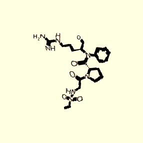 CCS(=O)(=O)NCC(=O)N1CCC[C@H]1C(=O)N(c1ccccc1)[C@H](C=O)CCCNC(=N)N